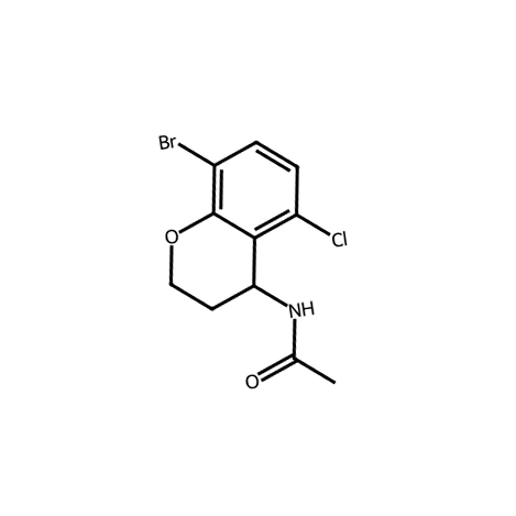 CC(=O)NC1CCOc2c(Br)ccc(Cl)c21